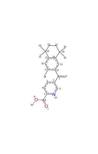 C=C(c1ccc(C(=O)OC)nc1)c1cc2c(cc1C)C(C)(C)CCC2(C)C